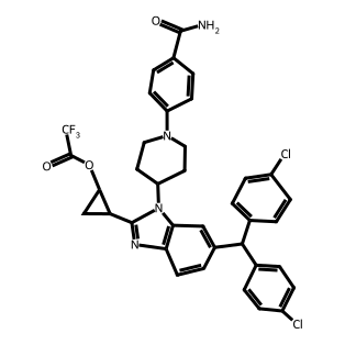 NC(=O)c1ccc(N2CCC(n3c(C4CC4OC(=O)C(F)(F)F)nc4ccc(C(c5ccc(Cl)cc5)c5ccc(Cl)cc5)cc43)CC2)cc1